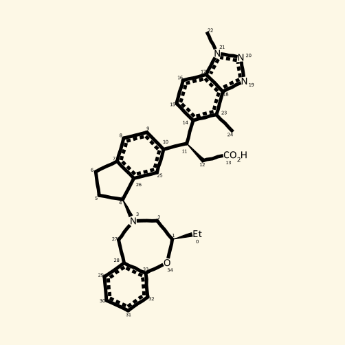 CC[C@@H]1CN([C@H]2CCc3ccc([C@H](CC(=O)O)c4ccc5c(nnn5C)c4C)cc32)Cc2ccccc2O1